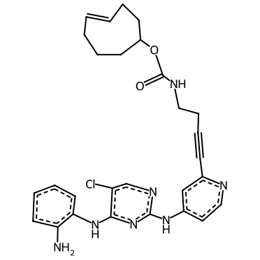 Nc1ccccc1Nc1nc(Nc2ccnc(C#CCCNC(=O)OC3CC/C=C/CCC3)c2)ncc1Cl